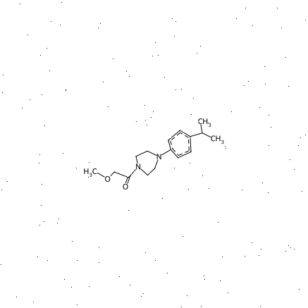 COCC(=O)N1CCN(c2ccc(C(C)C)cc2)CC1